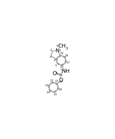 CN1CCc2cc(NC(=O)Oc3ccccc3)ccc21